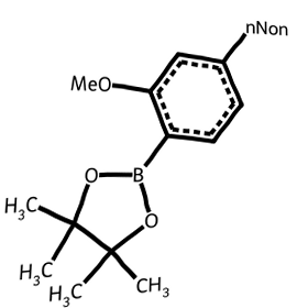 CCCCCCCCCc1ccc(B2OC(C)(C)C(C)(C)O2)c(OC)c1